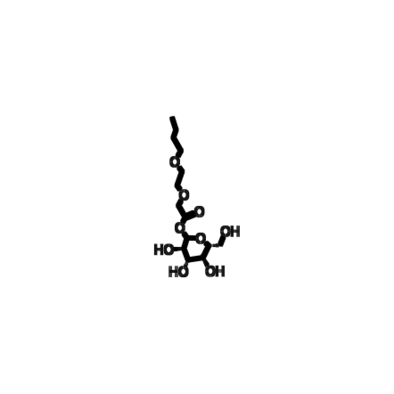 CCCCOCCOCC(=O)OC1O[C@H](CO)[C@@H](O)[C@H](O)[C@H]1O